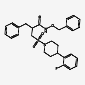 O=C(NOCc1ccccc1)C(Cc1ccccc1)CS(=O)(=O)N1CCC(c2ccccc2F)CC1